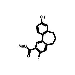 COC(=O)c1cc2c(cc1F)CCCc1cc(O)ccc1-2